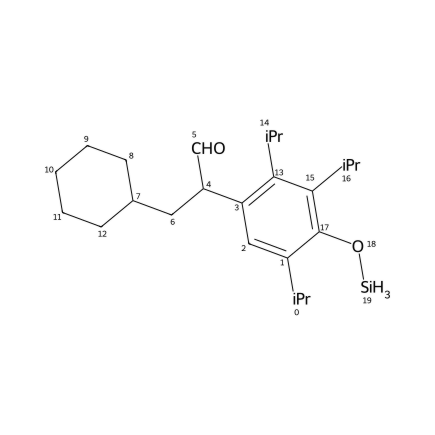 CC(C)c1cc(C(C=O)CC2CCCCC2)c(C(C)C)c(C(C)C)c1O[SiH3]